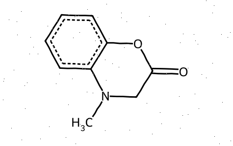 CN1CC(=O)Oc2ccccc21